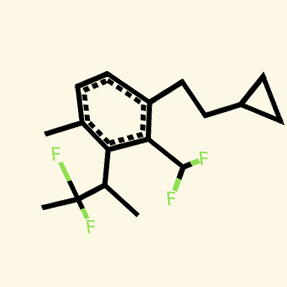 Cc1ccc(CCC2CC2)c(C(F)F)c1C(C)C(C)(F)F